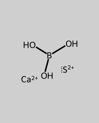 OB(O)O.[Ca+2].[S+2]